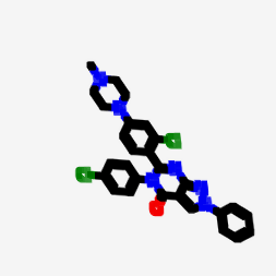 CN1CCN(c2ccc(-c3nc4nn(-c5ccccc5)cc4c(=O)n3-c3ccc(Cl)cc3)c(Cl)c2)CC1